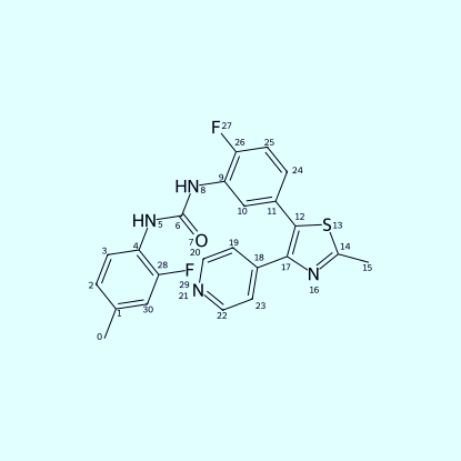 Cc1ccc(NC(=O)Nc2cc(-c3sc(C)nc3-c3ccncc3)ccc2F)c(F)c1